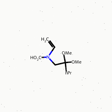 C=CN(CC(CCC)(OC)OC)C(=O)O